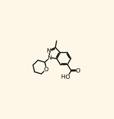 Cc1nn(C2CCCCO2)c2cc(C(=O)O)ccc12